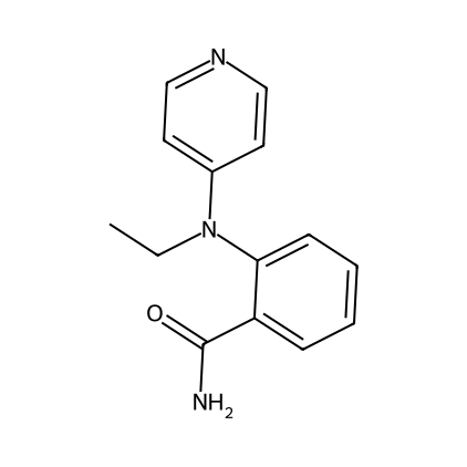 CCN(c1ccncc1)c1ccccc1C(N)=O